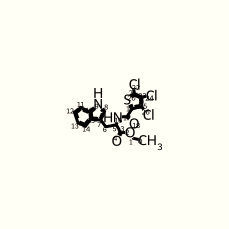 CCOC(=O)C(Cc1c[nH]c2ccccc12)NC(=O)c1sc(Cl)c(Cl)c1Cl